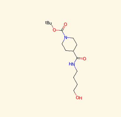 CC(C)(C)OC(=O)N1CCC(C(=O)NCCCCO)CC1